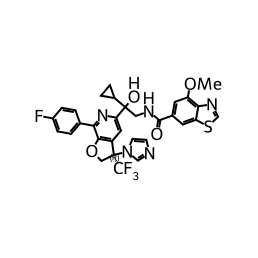 COc1cc(C(=O)NCC(O)(c2cc3c(c(-c4ccc(F)cc4)n2)OC[C@@]3(n2ccnc2)C(F)(F)F)C2CC2)cc2scnc12